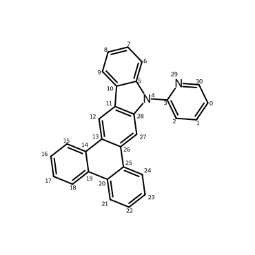 c1ccc(-n2c3ccccc3c3cc4c5ccccc5c5ccccc5c4cc32)nc1